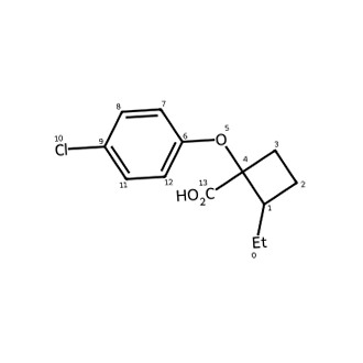 CCC1CCC1(Oc1ccc(Cl)cc1)C(=O)O